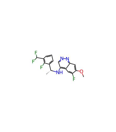 COc1cc2nncc(N[C@H](C)c3cccc(C(F)F)c3F)c2cc1F